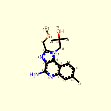 CCSCc1nc2c(N)nc3cc(C)ccc3c2n1CC(C)(C)O